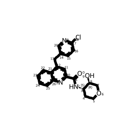 O=C(N[C@H]1CCOC[C@@H]1O)c1cc(Cc2ccc(Cl)nc2)c2ccccc2n1